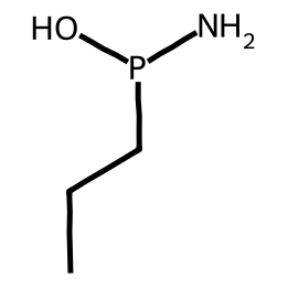 CCCP(N)O